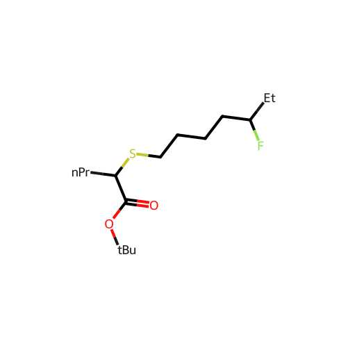 CCCC(SCCCCC(F)CC)C(=O)OC(C)(C)C